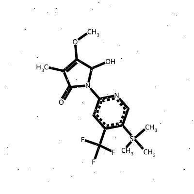 COC1=C(C)C(=O)N(c2cc(C(F)(F)F)c([Si](C)(C)C)cn2)C1O